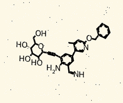 Cc1cc(OCc2ccccc2)ncc1-c1cc(C#CC2OC(CO)[C@@H](O)C(O)C2O)c(N)c(C=N)c1